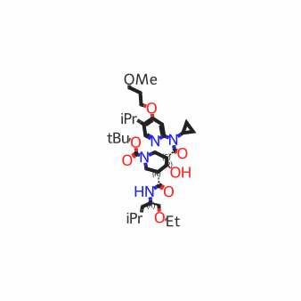 CCOC[C@@H](CC(C)C)NC(=O)[C@@H]1CN(C(=O)OC(C)(C)C)C[C@H](C(=O)N(c2cc(OCCCOC)c(C(C)C)cn2)C2CC2)[C@@H]1O